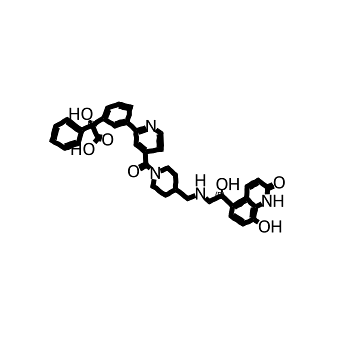 O=C(c1ccnc(-c2cccc([C@](O)(C(=O)O)c3ccccc3)c2)c1)N1CCC(CNC[C@H](O)c2ccc(O)c3[nH]c(=O)ccc23)CC1